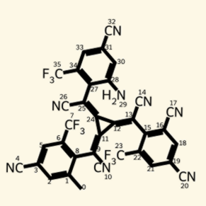 Cc1cc(C#N)cc(C(F)(F)F)c1/C(C#N)=C1/C(=C(C#N)c2c(C#N)cc(C#N)cc2C(F)(F)F)/C1=C(/C#N)c1c(N)cc(C#N)cc1C(F)(F)F